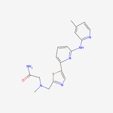 Cc1ccnc(Nc2cccc(-c3cnc(CN(C)CC(N)=O)s3)n2)c1